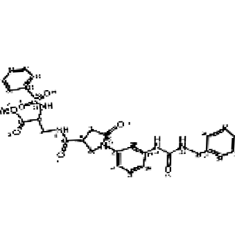 COC(=O)C(CNC(=O)C1CC(=O)N(c2cccc(NC(=O)NCc3ccccc3)c2)C1)NS(=O)(=O)c1ccccc1